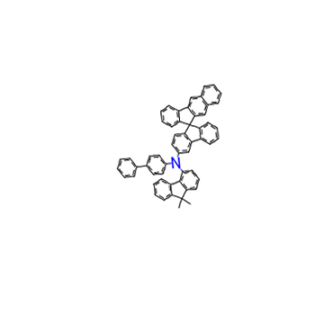 CC1(C)c2ccccc2-c2c(N(c3ccc(-c4ccccc4)cc3)c3ccc4c(c3)-c3ccccc3C43c4ccccc4-c4cc5ccccc5cc43)cccc21